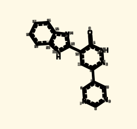 O=c1[nH]nc(-c2cncnc2)cc1-c1nc2ccccc2[nH]1